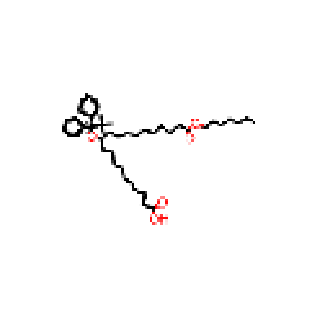 CCCCCCCOC(=O)CCCCCCCCCC(CCCCCCCCCC(=O)O)O[Si](c1ccccc1)(c1ccccc1)C(C)(C)C